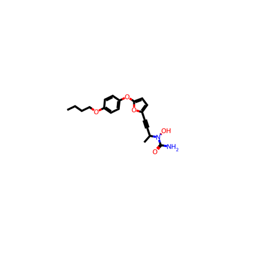 CCCCOc1ccc(Oc2ccc(C#CC(C)N(O)C(N)=O)o2)cc1